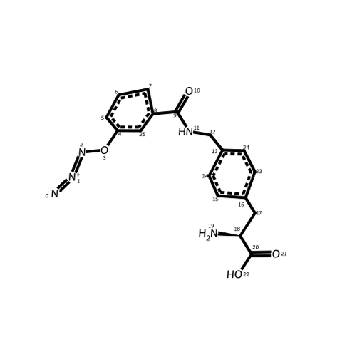 [N-]=[N+]=NOc1cccc(C(=O)NCc2ccc(C[C@H](N)C(=O)O)cc2)c1